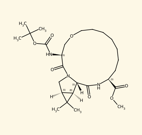 COC(=O)[C@@H]1CCCCCCCOC[C@H](NC(=O)OC(C)(C)C)C(=O)N2C[C@H]3[C@@H]([C@H]2C(=O)N1)C3(C)C